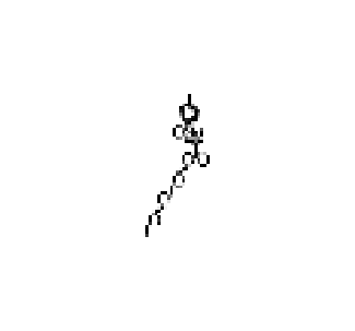 CCOCCOCCOCCOC(=O)/C(C)=C/S(=O)(=O)c1ccc(C)cc1